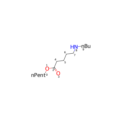 [CH2]CCCCOC(=O)CCCCNCCCC